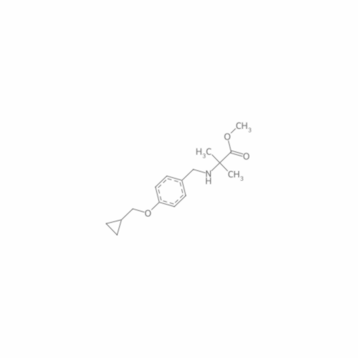 COC(=O)C(C)(C)NCc1ccc(OCC2CC2)cc1